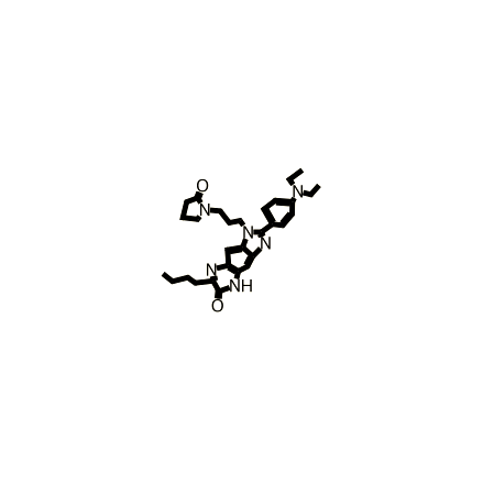 CCCCc1nc2cc3c(cc2[nH]c1=O)nc(-c1ccc(N(CC)CC)cc1)n3CCCN1CCCC1=O